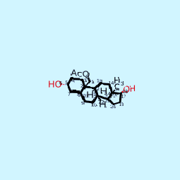 CC(=O)OC[C@]12CC[C@@H](O)C=C1CC[C@@H]1[C@@H]2CC[C@]2(C)[C@@H](O)CC[C@@H]12